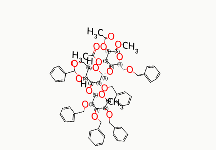 CO[C@H]1O[C@H](COCc2ccccc2)[C@@H](O[C@H]2O[C@@H]3COC(c4ccccc4)O[C@@H]3[C@H](O[C@@H]3O[C@@H](C)[C@@H](OCc4ccccc4)[C@@H](OCc4ccccc4)[C@@H]3OCc3ccccc3)[C@H]2OCc2ccccc2)[C@H](OC(C)=O)[C@H]1OC(C)=O